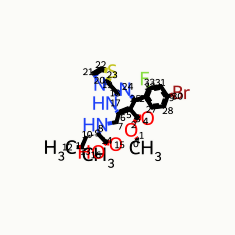 CCOC(=O)C1=C(CN[C@@H](CC(C)C)C(=O)O)NC(c2nccs2)=NC1c1ccc(Br)cc1F